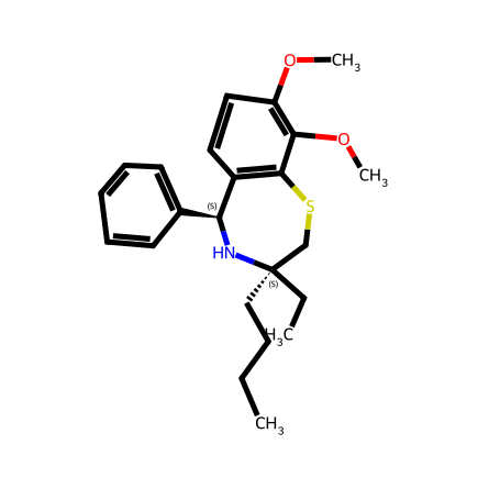 CCCC[C@@]1(CC)CSc2c(ccc(OC)c2OC)[C@H](c2ccccc2)N1